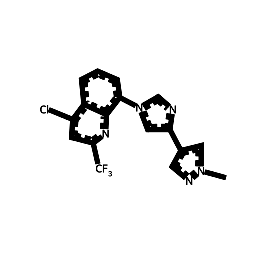 Cn1cc(-c2cn(-c3cccc4c(Cl)cc(C(F)(F)F)nc34)cn2)cn1